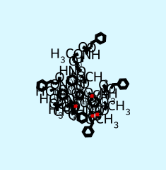 CC(=O)OC[C@H]1O[C@@H](O[C@@H]2[C@@H](OC(C)=O)[C@H](NC(=O)[C@H](CCNC(=O)OCc3ccccc3)OC(C)=O)C[C@H](NC(=O)OCc3ccccc3)[C@H]2O[C@H]2O[C@H](CO)[C@@H](O)[C@H](OC(C)=O)[C@H]2NC(=O)OCc2ccccc2)[C@H](OC(C)=O)[C@@H]1O[C@H]1O[C@@H](CNC(=O)OCc2ccccc2)[C@@H](OC(C)=O)[C@H](OC(C)=O)[C@H]1NC(=O)OCc1ccccc1